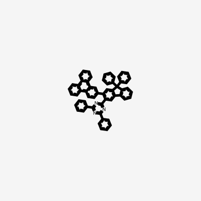 c1ccc(-c2nc(-c3ccccc3)nc(-c3cc4c(cc3-c3ccc5c6ccccc6c6ccccc6c5c3)C(c3ccccc3)(c3ccccc3)c3ccccc3-4)n2)cc1